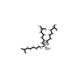 CC(C)CCCCCO[PH](O)(CCCCCC(C)C)OCCCCCC(C)C